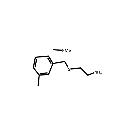 CNC.Cc1cccc(CSCCN)c1